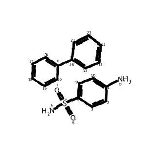 Nc1ccc(S(N)(=O)=O)cc1.c1ccc(-c2ccccc2)cc1